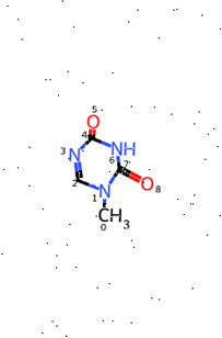 Cn1cnc(=O)[nH]c1=O